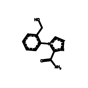 NC(=O)c1n[c]cn1-c1ccccc1CO